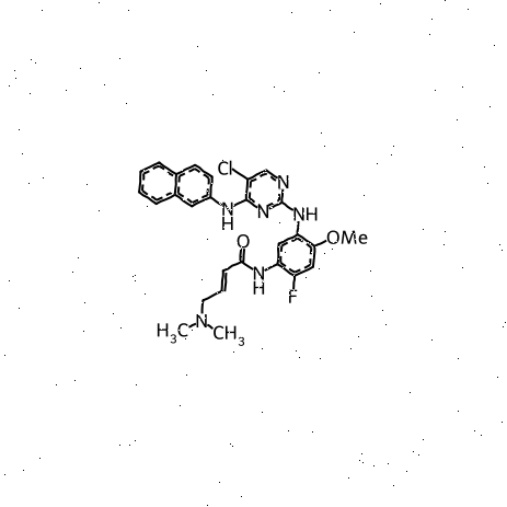 COc1cc(F)c(NC(=O)/C=C/CN(C)C)cc1Nc1ncc(Cl)c(Nc2ccc3ccccc3c2)n1